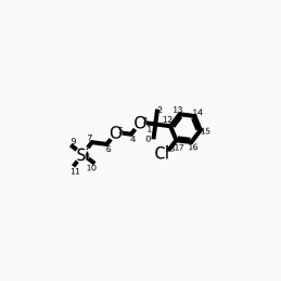 CC(C)(OCOCC[Si](C)(C)C)c1ccccc1Cl